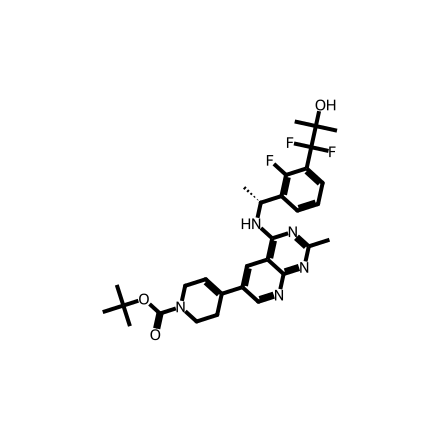 Cc1nc(N[C@H](C)c2cccc(C(F)(F)C(C)(C)O)c2F)c2cc(C3=CCN(C(=O)OC(C)(C)C)CC3)cnc2n1